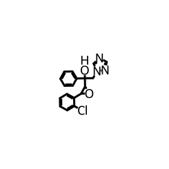 OC(Cn1cncn1)(c1ccccc1)C1OC1c1ccccc1Cl